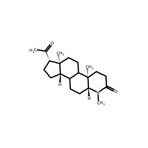 CC(=O)[C@H]1CC[C@H]2C3CC[C@H]4N(C)C(=O)CC[C@]4(C)C3CC[C@]12C